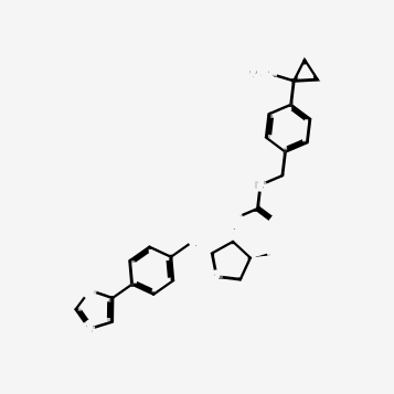 CNC1(c2ccc(CNC(=O)O[C@@H]3[C@@H](O)CN[C@@H]3Cc3ccc(-c4cnco4)cc3)cc2)CC1